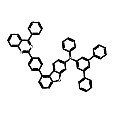 c1ccc(-c2cc(-c3ccccc3)cc(N(c3ccccc3)c3ccc4c(c3)oc3cccc(-c5ccc(-c6nc(-c7ccccc7)c7ccccc7n6)cc5)c34)c2)cc1